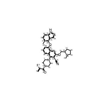 C=C(F)C(=O)N1CCN(c2c(C#N)c(OCC3CCCN3C)nc3c(Oc4c(C)ccc5[nH]ncc45)cccc23)CC1